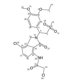 CCOc1cc(C(CS(C)(=O)=O)N2Cc3c(Cl)ccc(NC(=O)CCl)c3C2=O)ccc1OC